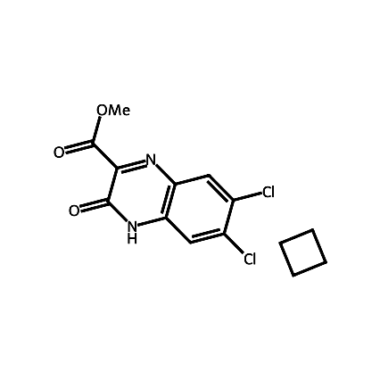 C1CCC1.COC(=O)c1nc2cc(Cl)c(Cl)cc2[nH]c1=O